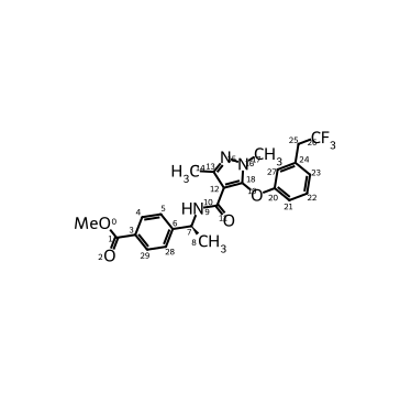 COC(=O)c1ccc([C@H](C)NC(=O)c2c(C)nn(C)c2Oc2cccc(CC(F)(F)F)c2)cc1